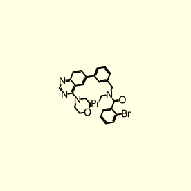 CC(C)CN(Cc1cccc(-c2ccc3ncnc(N4CCOCC4)c3c2)c1)C(=O)c1ccccc1Br